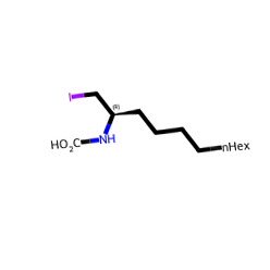 CCCCCCCCCC[C@H](CI)NC(=O)O